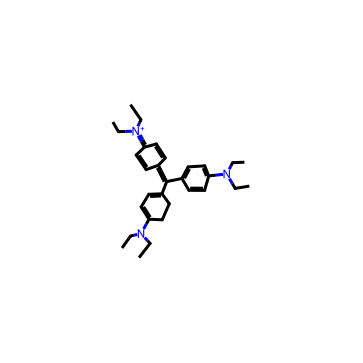 CCN(CC)C1=CC=C(C(=C2C=CC(=[N+](CC)CC)C=C2)c2ccc(N(CC)CC)cc2)CC1